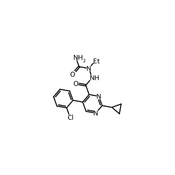 CCN(NC(=O)c1nc(C2CC2)ncc1-c1ccccc1Cl)C(N)=O